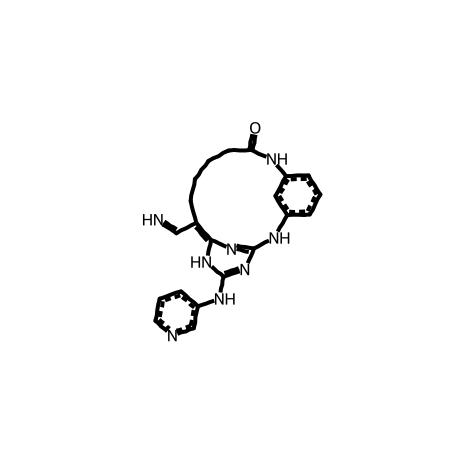 N=C/C1=C2/N=C(N=C(Nc3cccnc3)N2)Nc2cccc(c2)NC(=O)CCCC1